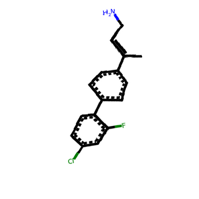 CC(=CCN)c1ccc(-c2ccc(Cl)cc2F)cc1